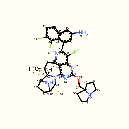 C[C@H]1Cc2nc(-c3cc(N)cc4ccc(F)c(F)c34)c(F)c3nc(OCC45CCCN4CCC5)nc(c23)N2C[C@@]3(F)CC[C@](F)(N3)[C@H]12